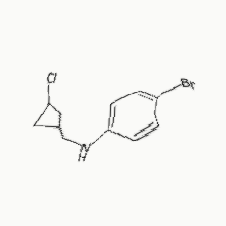 ClC1CC1Nc1ccc(Br)cc1